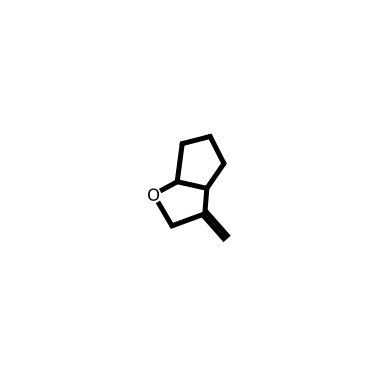 C=C1COC2CCCC12